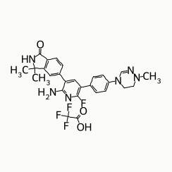 CN1CCN(c2ccc(-c3cc(-c4ccc5c(c4)C(C)(C)NC5=O)c(N)nc3F)cc2)C=N1.O=C(O)C(F)(F)F